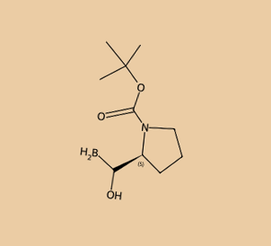 BC(O)[C@@H]1CCCN1C(=O)OC(C)(C)C